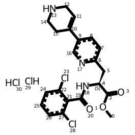 COC(=O)[C@H](Cc1ccc(C2=CCNCC2)cn1)NC(=O)c1c(Cl)cccc1Cl.Cl.Cl